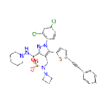 O=C(NN1CCCCC1)c1nn(-c2ccc(Cl)cc2Cl)c(-c2ccc(C#Cc3ccc(Cl)cc3)s2)c1CN(N1CCC1)[SH](=O)=O